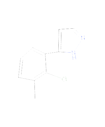 Cc1cccc(-c2ccn[nH]2)c1Cl